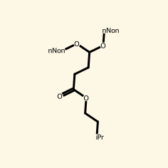 CCCCCCCCCOC(CCC(=O)OCCC(C)C)OCCCCCCCCC